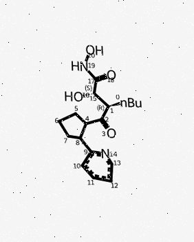 CCCC[C@@H](C(=O)C1CCCC1c1ccccn1)[C@H](O)C(=O)NO